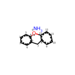 N.c1ccc2c(c1)Cc1ccccc1O2